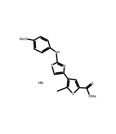 Br.COC(=S)c1cc(-c2csc(Nc3ccc(OC)cc3)n2)c(C)s1